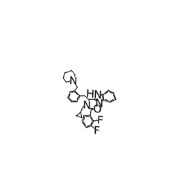 O=C(c1cccc(F)c1F)N(CC1CC1)C(Cc1ccccc1CN1CCCCC1)c1nc2ccccc2[nH]1